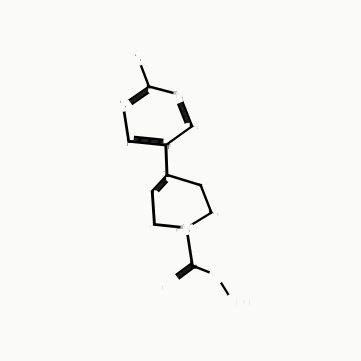 CC(C)(C)OC(=O)N1CC=C(c2cnc(N)nc2)CC1